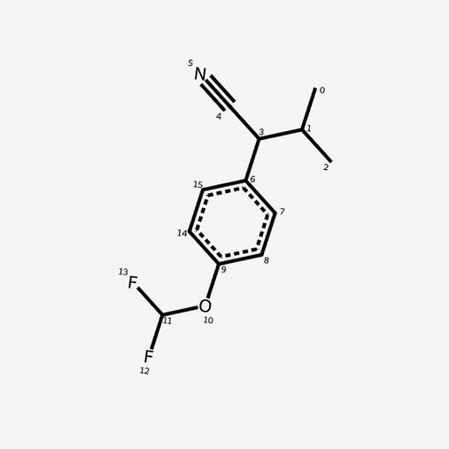 CC(C)C(C#N)c1ccc(OC(F)F)cc1